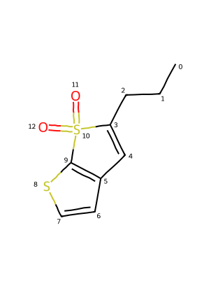 CCCC1=Cc2ccsc2S1(=O)=O